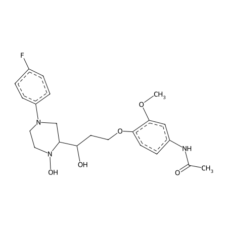 COc1cc(NC(C)=O)ccc1OCCC(O)C1CN(c2ccc(F)cc2)CCN1O